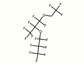 FC(F)(F)COC(F)(F)C(F)(OC(F)(F)C(F)(F)C(F)(F)F)C(F)(F)F